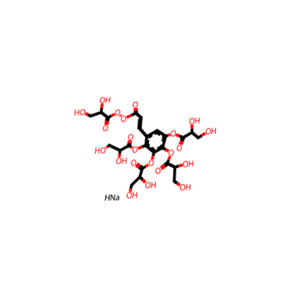 O=C(C=Cc1cc(OC(=O)C(O)CO)c(OC(=O)C(O)CO)c(OC(=O)C(O)CO)c1OC(=O)C(O)CO)OOC(=O)C(O)CO.[NaH]